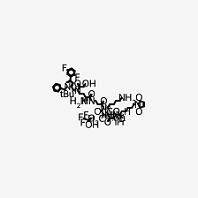 CC(C)[C@H](NC(=O)CCCCCN1C(=O)C=CC1=O)C(=O)N[C@@H](C)C(=O)N(C(=O)CCNC(=O)[C@@H](N)CCN(C(=O)CO)[C@@H](c1cc(-c2cc(F)ccc2F)cn1Cc1ccccc1)C(C)(C)C)[C@@H](CCCCN)C(=O)O.O=C(O)C(F)(F)F